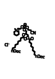 CCCCCCCCCCCCCCCCCC(=O)OCC(COP(=O)(OCCC#N)OCC[N+]1(C)CCCCC1)OC(=O)CCCCCCCCCCCCCCCCC.[Cl-]